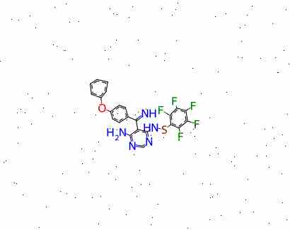 N=C(c1ccc(Oc2ccccc2)cc1)c1c(N)ncnc1NSc1c(F)c(F)c(F)c(F)c1F